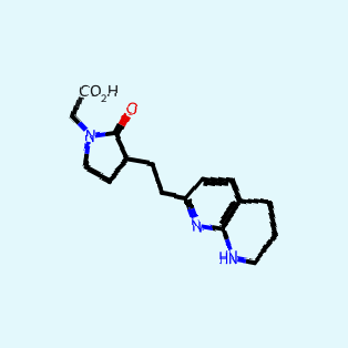 O=C(O)CN1CCC(CCc2ccc3c(n2)NCCC3)C1=O